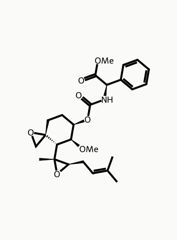 COC(=O)[C@H](NC(=O)O[C@@H]1CC[C@]2(CO2)[C@@H]([C@@]2(C)O[C@@H]2CC=C(C)C)[C@@H]1OC)c1ccccc1